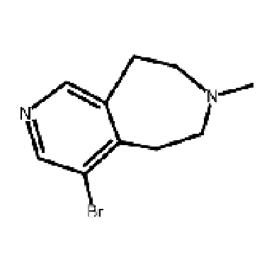 CN1CCc2cncc(Br)c2CC1